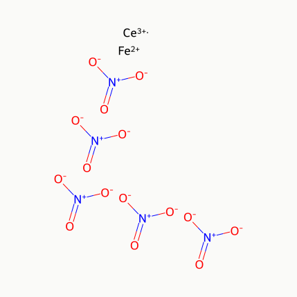 O=[N+]([O-])[O-].O=[N+]([O-])[O-].O=[N+]([O-])[O-].O=[N+]([O-])[O-].O=[N+]([O-])[O-].[Ce+3].[Fe+2]